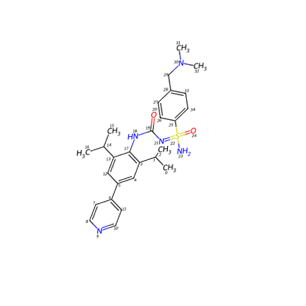 CC(C)c1cc(-c2ccncc2)cc(C(C)C)c1NC(=O)N=S(N)(=O)c1ccc(CN(C)C)cc1